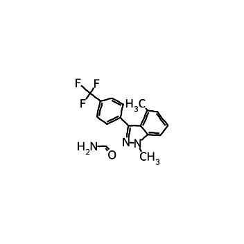 Cc1cccc2c1c(-c1ccc(C(F)(F)F)cc1)nn2C.NC=O